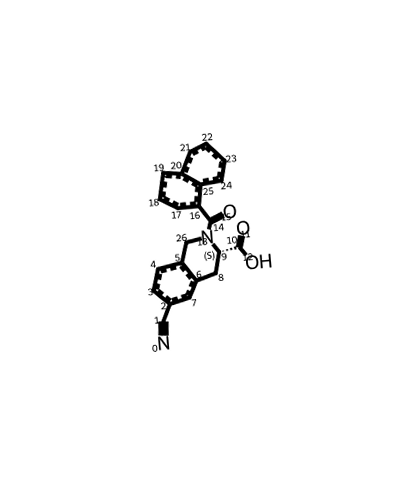 N#Cc1ccc2c(c1)C[C@@H](C(=O)O)N(C(=O)c1cccc3ccccc13)C2